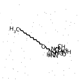 CCCCCCCCCCCCCCCCOCCCNc1nc(CC(C)OCP(=O)(O)O)nc2nc[nH]c12